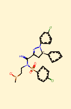 C[S+]([O-])CCN(C(=N)C1=NN(c2ccc(Cl)cc2)[C@@H](c2ccccc2)C1)S(=O)(=O)c1ccc(Cl)cc1